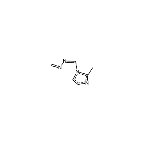 C=N/N=C\n1ccnc1C